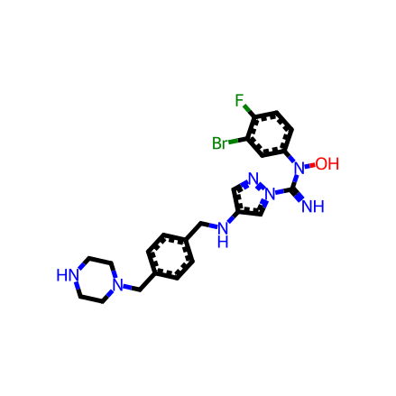 N=C(N(O)c1ccc(F)c(Br)c1)n1cc(NCc2ccc(CN3CCNCC3)cc2)cn1